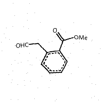 COC(=O)c1ccccc1C[C]=O